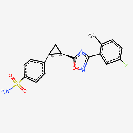 NS(=O)(=O)c1ccc([C@@H]2C[C@H]2c2nc(-c3cc(F)ccc3C(F)(F)F)no2)cc1